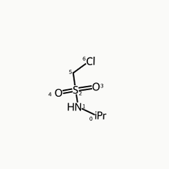 CC(C)NS(=O)(=O)CCl